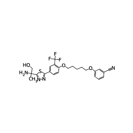 CC(N)(CO)c1nnc(-c2ccc(OCCCCCOc3cccc(C#N)c3)c(C(F)(F)F)c2)s1